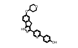 Oc1ccc(-c2ccc(-c3n[nH]c4c3Cc3cc(OC5CCOCC5)ccc3-4)cn2)cc1